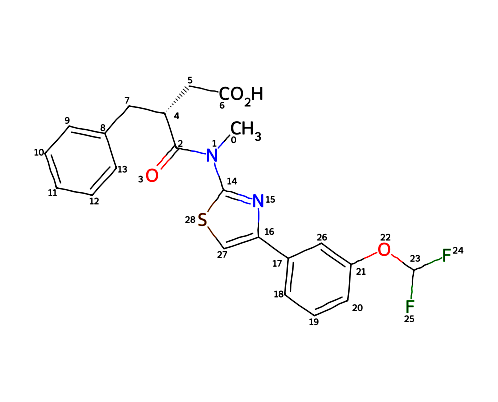 CN(C(=O)[C@@H](CC(=O)O)Cc1ccccc1)c1nc(-c2cccc(OC(F)F)c2)cs1